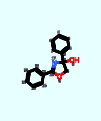 OC1(c2ccccc2)COC(c2ccccc2)=N1